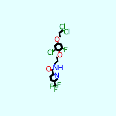 O=C(NCCCOc1c(F)cc(OCC=C(Cl)Cl)cc1Cl)c1ccc(C(F)(F)F)cn1